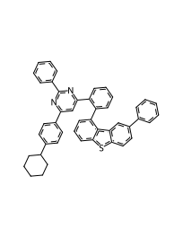 c1ccc(-c2ccc3sc4cccc(-c5ccccc5-c5cc(-c6ccc(C7CCCCC7)cc6)nc(-c6ccccc6)n5)c4c3c2)cc1